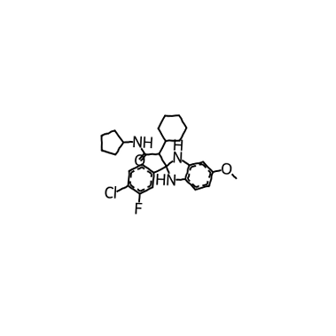 COc1ccc2c(c1)NC(c1ccc(Cl)c(F)c1)(C(C(=O)NC1CCCC1)C1CCCCC1)N2